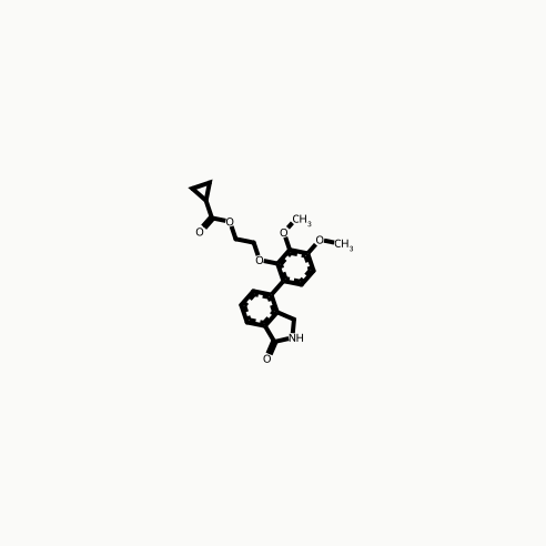 COc1ccc(-c2cccc3c2CNC3=O)c(OCCOC(=O)C2CC2)c1OC